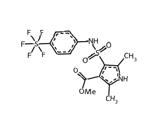 COC(=O)c1c(C)[nH]c(C)c1S(=O)(=O)Nc1ccc(S(F)(F)(F)(F)F)cc1